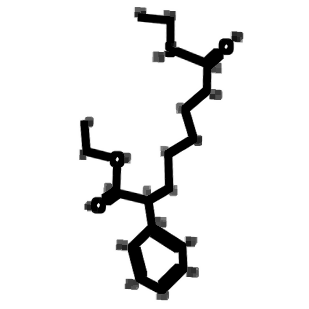 CCOC(=O)C(CCCCCC(=O)SCC)c1ccccc1